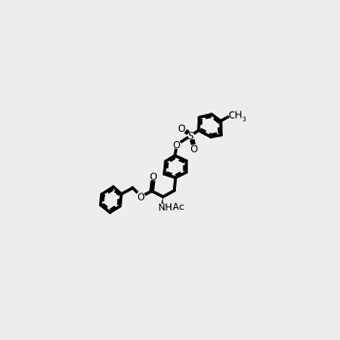 CC(=O)N[C@@H](Cc1ccc(OS(=O)(=O)c2ccc(C)cc2)cc1)C(=O)OCc1ccccc1